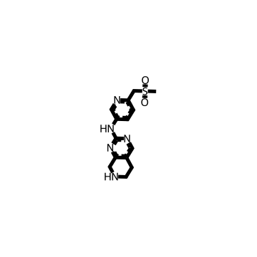 CS(=O)(=O)Cc1ccc(Nc2ncc3c(n2)CNCC3)cn1